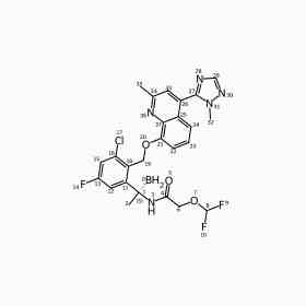 B[C@@](C)(NC(=O)COC(F)F)c1cc(F)cc(Cl)c1COc1cccc2c(-c3ncnn3C)cc(C)nc12